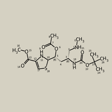 CNC[C@@H](C[C@@H](OC(C)=O)C1NC(C(=O)OC)=CS1)NC(=O)OC(C)(C)C